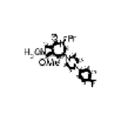 CCCN1CC(N2CCN(c3ccc(F)cc3)CC2)C(OC)c2cn(C)cc2C1=O